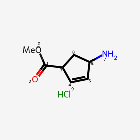 COC(=O)C1C=CC(N)C1.Cl